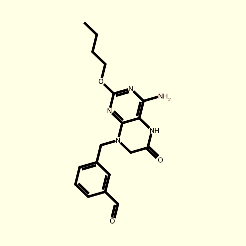 CCCCOc1nc(N)c2c(n1)N(Cc1cccc(C=O)c1)CC(=O)N2